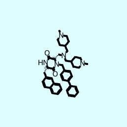 CN1CCC(CN(CC2CCN(C)CC2)C[C@H]2C(=O)N[C@@H](Cc3ccc4ccccc4c3)C(=O)N2Cc2ccc(-c3ccccc3)cc2)CC1